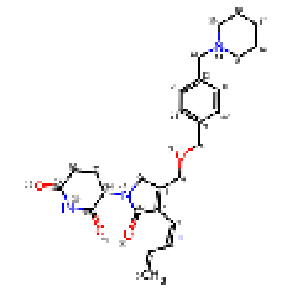 C=C/C=C\C1=C(COCc2ccc(CN3CCCCC3)cc2)CN(C2CCC(=O)NC2=O)C1=O